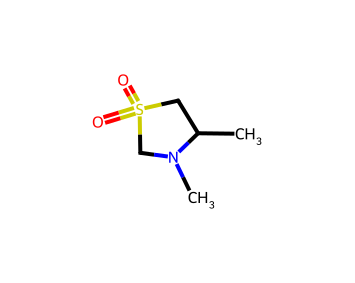 CC1CS(=O)(=O)CN1C